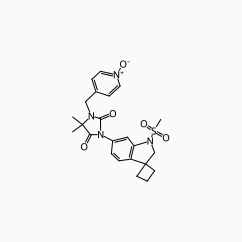 CC1(C)C(=O)N(c2ccc3c(c2)N(S(C)(=O)=O)CC32CCC2)C(=O)N1Cc1cc[n+]([O-])cc1